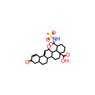 CS(=O)(=O)NC(=O)C1CCCC2(C(=O)O)CCC3C4CCC5CC(=O)C=CC5C4=CC(=O)C3C12